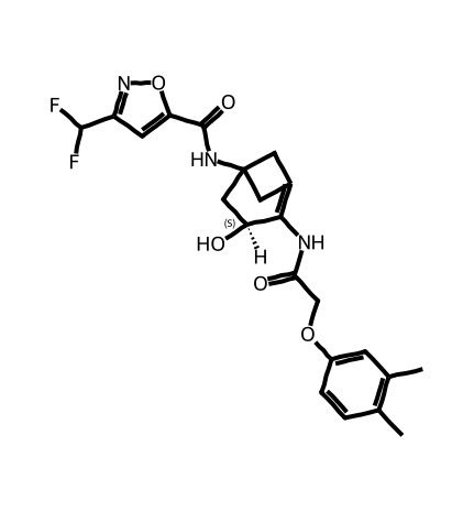 Cc1ccc(OCC(=O)NC2=C3CC(NC(=O)c4cc(C(F)F)no4)(C3)C[C@@H]2O)cc1C